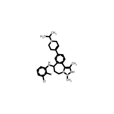 CC1=C2c3ccc(C4=CCN(C(C)C)CC4)cc3C(Nc3cccc(Cl)c3F)CCN2N(C)N1